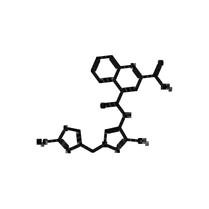 Cc1nc(Cn2cc(NC(=O)c3cc(C(N)=O)nc4ccccc34)c(C)n2)cs1